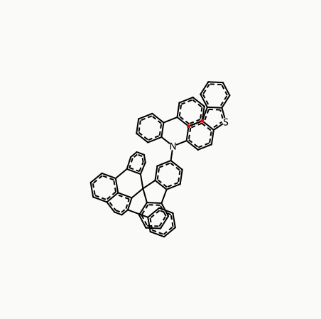 c1ccc(-c2ccccc2N(c2ccc3c(c2)C2(c4ccccc4-3)c3ccccc3-c3cccc4ccc(-c5ccccc5)c2c34)c2ccc3sc4ccccc4c3c2)cc1